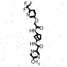 Cc1cnc(C(=O)NC2CC3(NC(=O)COc4ccc(C(F)(F)F)nc4)CC2C3)cn1